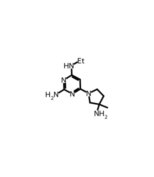 CCNc1cc(N2CCC(C)(N)C2)nc(N)n1